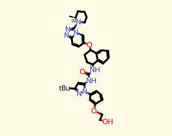 C[C@H]1CCCCN1c1nnc2ccc(OC3CC[C@H](NC(=O)Nc4cc(C(C)(C)C)nn4-c4cccc(OCCO)c4)c4ccccc43)cn12